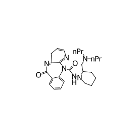 CCCN(CCC)CC1CCCCN1NC(=O)N1C2=NC=CCC2=NC(=O)c2ccccc21